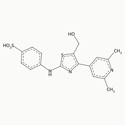 Cc1cc(-c2nc(Nc3ccc(S(=O)(=O)O)cc3)sc2CO)cc(C)n1